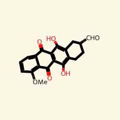 COc1cccc2c1C(=O)c1c(O)c3c(c(O)c1C2=O)CC(C=O)CC3